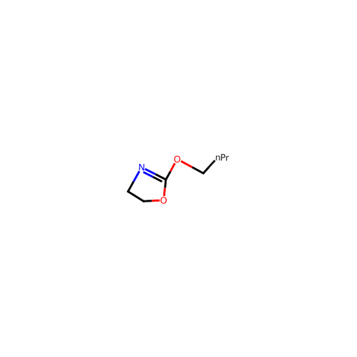 CCCCOC1=NCCO1